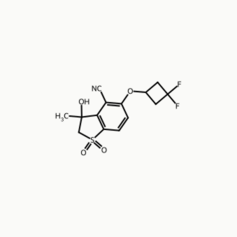 CC1(O)CS(=O)(=O)c2ccc(OC3CC(F)(F)C3)c(C#N)c21